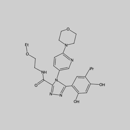 CCOCCNC(=O)c1nnc(-c2cc(C(C)C)c(O)cc2O)n1-c1ccc(N2CCOCC2)nc1